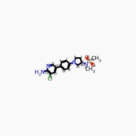 CN([C@@H]1CCN(c2ccc(-c3cnc(N)c(Cl)c3)cc2)C1)S(C)(=O)=O